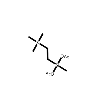 CC(=O)O[Si](C)(CC[Si](C)(C)C)OC(C)=O